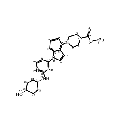 CC(C)(C)OC(=O)N1CCN(c2cccc3c2ccn3-c2ccnc(N[C@H]3CC[C@@H](O)CC3)n2)CC1